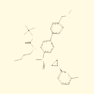 CC[C@H](C)[C@@H](CN(C(=O)[C@@H]1C[C@H]1c1cccc(F)n1)c1ccc(-c2ccc(COC)cc2)cc1)NC(=O)OC(C)(C)C